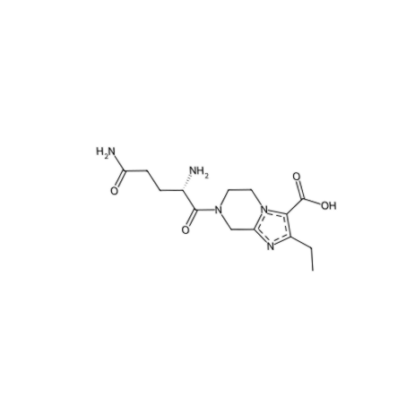 CCc1nc2n(c1C(=O)O)CCN(C(=O)[C@@H](N)CCC(N)=O)C2